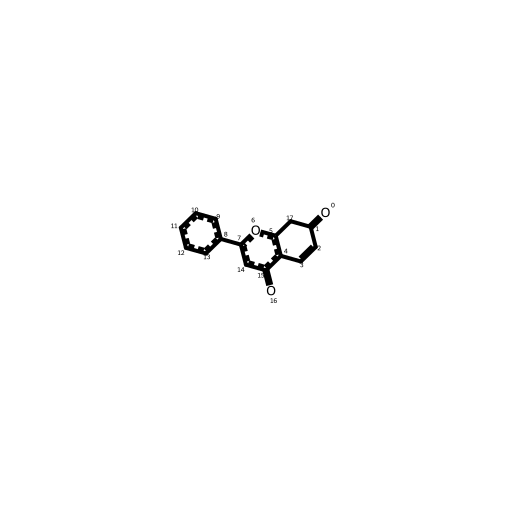 O=C1C=Cc2c(oc(-c3ccccc3)cc2=O)C1